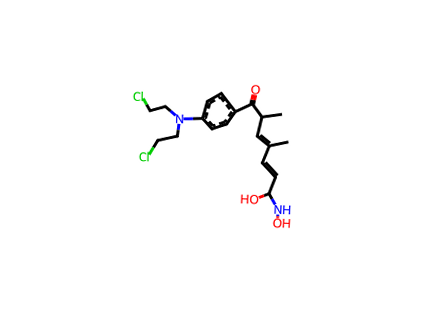 CC(/C=C/C(O)NO)=C\C(C)C(=O)c1ccc(N(CCCl)CCCl)cc1